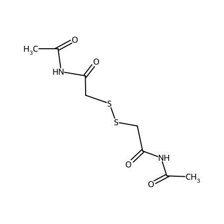 CC(=O)NC(=O)CSSCC(=O)NC(C)=O